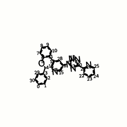 c1ccc(COc2ccccc2-c2cncc(-n3nnc(-c4ccccn4)n3)c2)cc1